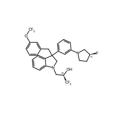 O[C@H](CN1CC(Cc2cccc(OC(F)(F)F)c2)(c2cccc(N3CC[C@H](F)C3)c2)c2ccccc21)C(F)(F)F